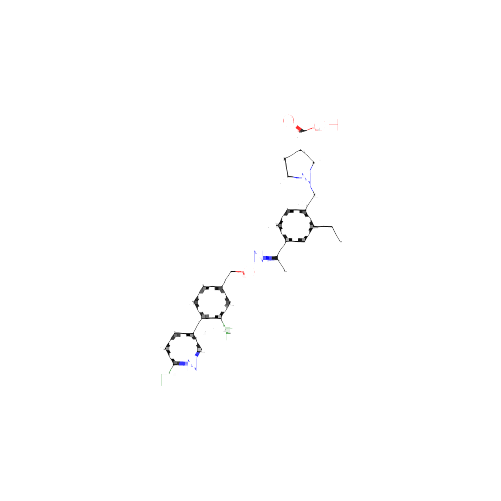 CCc1cc(/C(C)=N/OCc2ccc(-c3ccc(F)nc3)c(F)c2)ccc1CN1CC[C@H](C(=O)O)C1